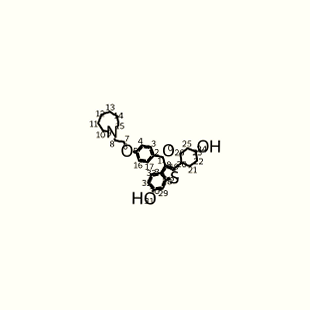 O=C(c1ccc(OCCN2CCCCCC2)cc1)c1c(C2CCC(O)CC2)sc2cc(O)ccc12